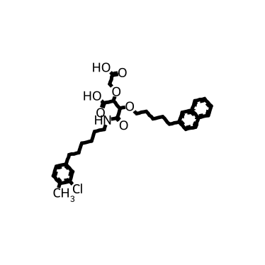 Cc1ccc(CCCCCCNC(=O)C(OCCCCCc2ccc3ccccc3c2)C(OCC(=O)O)C(=O)O)cc1Cl